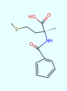 CSCC[C@](C)(NC(=O)c1ccccc1)C(=O)O